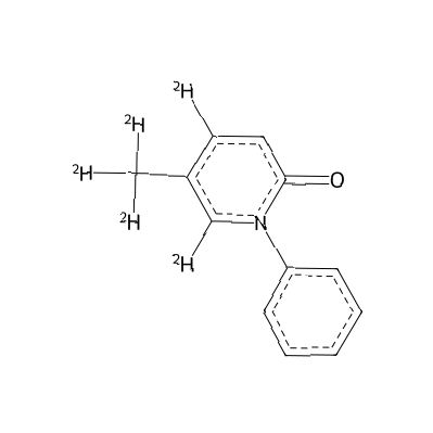 [2H]c1cc(=O)n(-c2ccccc2)c([2H])c1C([2H])([2H])[2H]